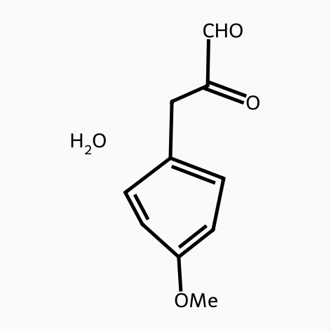 COc1ccc(CC(=O)C=O)cc1.O